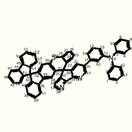 c1ccc(N(c2ccccc2)c2cccc(-c3cnc4c(c3)C3(c5ccccc5Sc5cc6c(cc53)-c3ccccc3C63c5ccccc5-c5ccccc53)c3cccnc3-4)c2)cc1